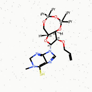 C=CCO[C@@H]1[C@@H]2O[Si](C(C)C)(C(C)C)O[Si](C(C)C)(C(C)C)OC[C@H]2O[C@H]1n1cnc2c1=NCN(C)C=2S